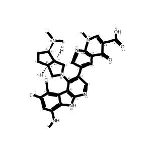 CNc1cc(Cl)c(Cl)c2c1[nH]c1ncc(-c3cnc4c(c3)c(=O)c(C(=O)O)cn4C)c(N3C[C@H]4CC[C@@H](N(C)C)[C@H]4C3)c12